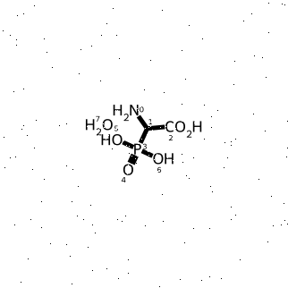 NC(C(=O)O)P(=O)(O)O.O